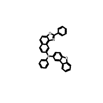 c1ccc(-c2nc3c(ccc4ccc(N(c5ccccc5)c5ccc6oc7ccccc7c6c5)cc43)o2)cc1